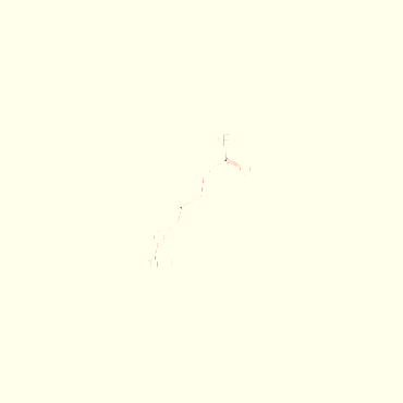 CCCOCCCOC(=O)CC